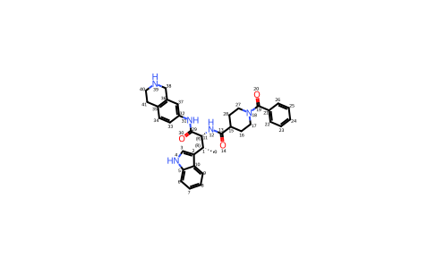 C[C@H](c1c[nH]c2ccccc12)[C@@H](NC(=O)C1CCN(C(=O)c2ccccc2)CC1)C(=O)Nc1ccc2c(c1)CNCC2